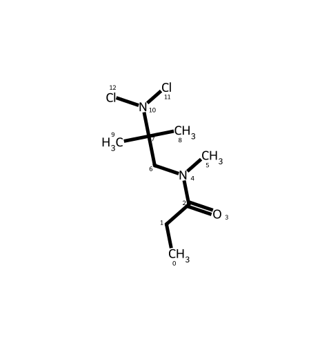 CCC(=O)N(C)CC(C)(C)N(Cl)Cl